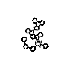 c1ccc(-c2cccc(-c3cccc(-c4nc(-c5ccccc5)nc(-n5c6ccccc6c6c5ccc5c7ccccc7n(-c7ccc8c9ccccc9c9ccccc9c8c7)c56)n4)c3)c2)cc1